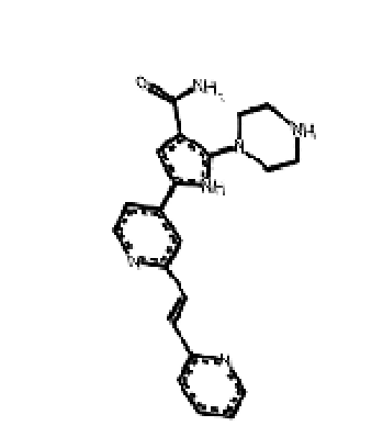 NC(=O)c1cc(-c2ccnc(C=Cc3ccccn3)c2)[nH]c1N1CCNCC1